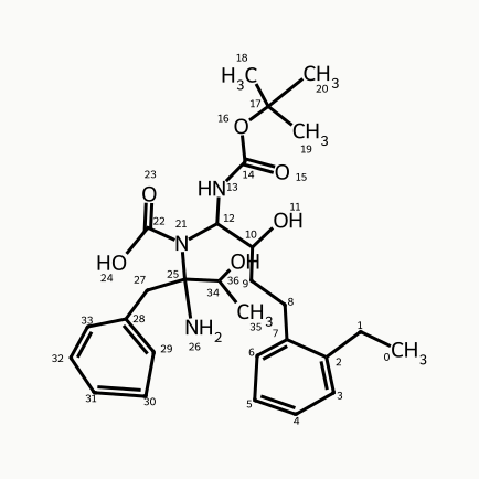 CCc1ccccc1CCC(O)C(NC(=O)OC(C)(C)C)N(C(=O)O)C(N)(Cc1ccccc1)C(C)O